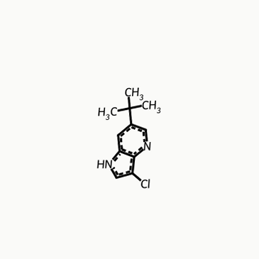 CC(C)(C)c1cnc2c(Cl)c[nH]c2c1